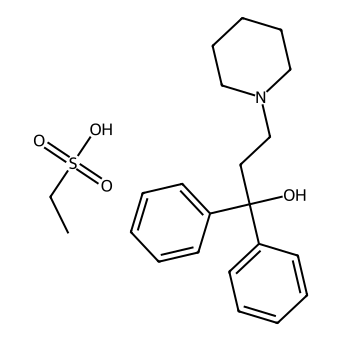 CCS(=O)(=O)O.OC(CCN1CCCCC1)(c1ccccc1)c1ccccc1